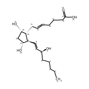 CCCCC[C@H](O)/C=C/[C@@H]1[C@@H](C/C=C/CCCC(=O)O)[C@@H](O)C[C@H]1O